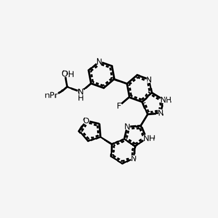 CCCC(O)Nc1cncc(-c2cnc3[nH]nc(-c4nc5c(-c6ccoc6)ccnc5[nH]4)c3c2F)c1